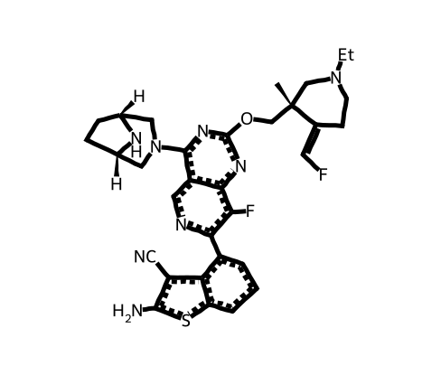 CCN1CC/C(=C\F)[C@](C)(COc2nc(N3C[C@H]4CC[C@@H](C3)N4)c3cnc(-c4cccc5sc(N)c(C#N)c45)c(F)c3n2)C1